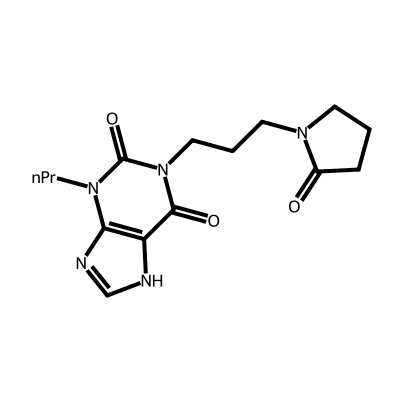 CCCn1c(=O)n(CCCN2CCCC2=O)c(=O)c2[nH]cnc21